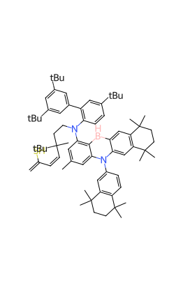 C=C(S)/C=C\C(C)(CCN(c1ccc(C(C)(C)C)cc1-c1cc(C(C)(C)C)cc(C(C)(C)C)c1)c1cc(C)cc2c1Bc1cc3c(cc1N2c1ccc2c(c1)C(C)(C)CCC2(C)C)C(C)(C)CCC3(C)C)C(C)(C)C